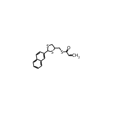 C=CC(=O)SCC1CSC(c2ccc3ccccc3c2)S1